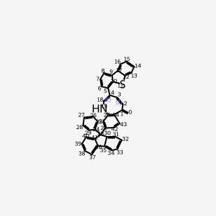 C=C1/C=C\C(c2cccc3c2sc2ccccc23)=C/Nc2cc(C3(c4ccccc4)c4ccccc4-c4ccccc43)ccc21